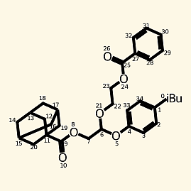 CCC(C)c1ccc(OC(COC(=O)C23CC4CC(CC(C4)C2)C3)OCCOC(=O)c2ccccc2)cc1